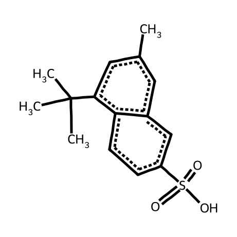 Cc1cc(C(C)(C)C)c2ccc(S(=O)(=O)O)cc2c1